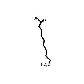 O=NC(=O)CCCCCCCCC(=O)O